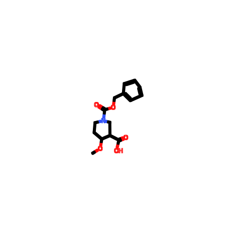 COC1CCN(C(=O)OCc2ccccc2)CC1C(=O)O